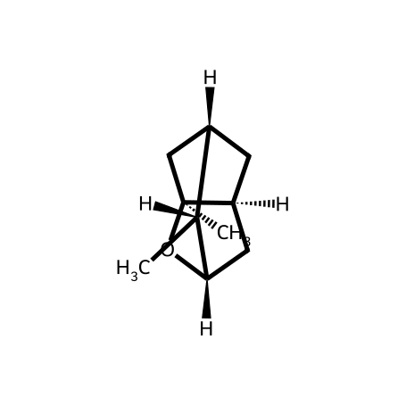 C[C@@H]1[C@H]2C[C@H]3C[C@@H]1O[C@@]3(C)C2